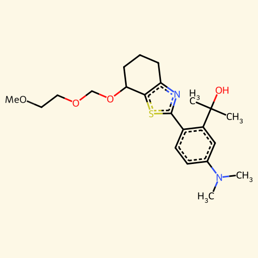 COCCOCOC1CCCc2nc(-c3ccc(N(C)C)cc3C(C)(C)O)sc21